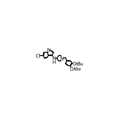 COc1ccc(CN2CCC(Nc3ccnc4cc(Cl)ccc34)CC2)cc1OCC(C)C